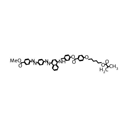 C=C(C)C(=O)OCCCCCCOc1ccc(C(=O)Oc2ccc(CNc3ccc(/N=N/c4ccc(/N=N/c5ccc(C(=O)OC)cc5)cc4)c4ccccc34)cc2)cc1